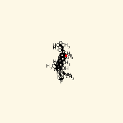 CNCCn1c(-c2ncc(F)cn2)nnc1[C@@H](O)[C@@]12CC[C@]3(C)[C@H](CC[C@@H]4[C@@]5(C)CC[C@H](OC(=O)CC(C)(C)C(=O)O)C(C)(C)[C@@H]5CC[C@]43C)C1=C(C(C)C)C(=O)C2